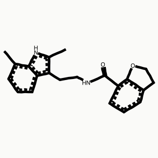 Cc1[nH]c2c(C)cccc2c1CCNC(=O)c1cccc2c1OCC2